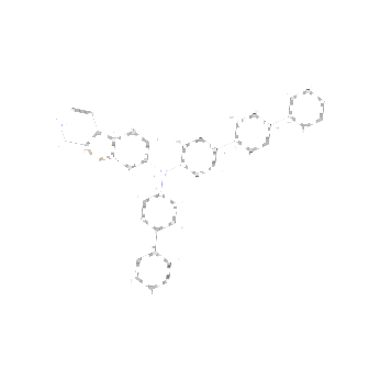 C1=Cc2c(sc3cc(N(c4ccc(-c5ccccc5)cc4)c4ccc(-c5ccc(-c6ccccc6)cc5)cc4)ccc23)CN1